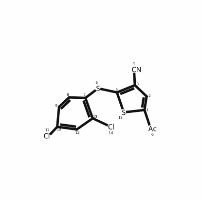 CC(=O)c1cc(C#N)c(Sc2ccc(Cl)cc2Cl)s1